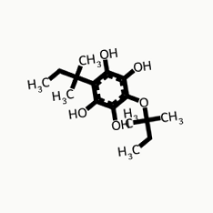 CCC(C)(C)Oc1c(O)c(O)c(C(C)(C)CC)c(O)c1O